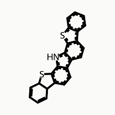 C1=CC2Sc3c(ccc4c3[nH]c3c4ccc4c5ccccc5sc43)C2C=C1